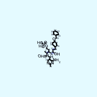 C/C(=C(CCOP(=O)(O)O)/[SH]=C(O)\C=C\c1ccc(OCc2ccccc2)cc1)N(C=O)Cc1cnc(C)nc1N